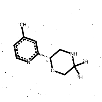 [2H]C1([2H])CO[C@H](c2cc(C)ccn2)CN1